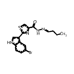 CCC/C=N/NC(=O)c1csc(-c2c[nH]c3ccc(Br)cc23)n1